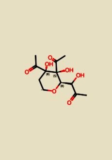 CC(=O)C(O)[C@H]1O[CH]C[C@](O)(C(C)=O)[C@]1(O)C(C)=O